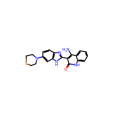 Nc1c(-c2nc3ccc(N4CCSCC4)cc3[nH]2)c(=O)[nH]c2ccccc12